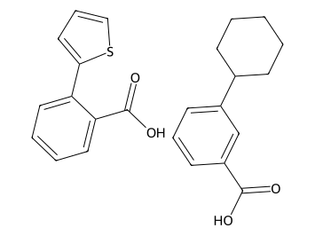 O=C(O)c1cccc(C2CCCCC2)c1.O=C(O)c1ccccc1-c1cccs1